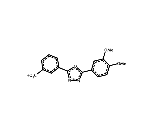 COc1ccc(-c2nnc(-c3cccc(C(=O)O)c3)o2)cc1OC